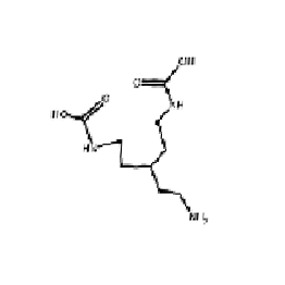 NCCC(CCNC(=O)O)CCNC(=O)O